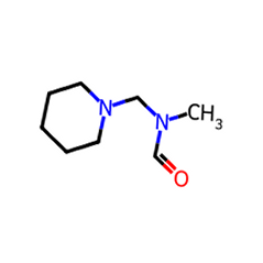 CN(C=O)CN1CCCCC1